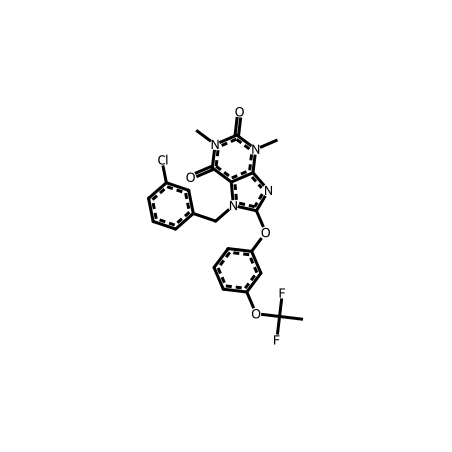 Cn1c(=O)c2c(nc(Oc3cccc(OC(C)(F)F)c3)n2Cc2cccc(Cl)c2)n(C)c1=O